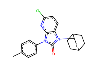 Cc1ccc(-n2c(=O)n(C3CC4CCC3CC4)c3ccc(Cl)nc32)cc1